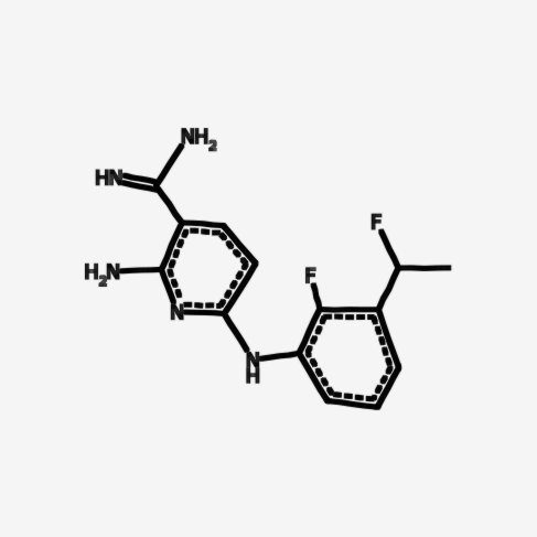 CC(F)c1cccc(Nc2ccc(C(=N)N)c(N)n2)c1F